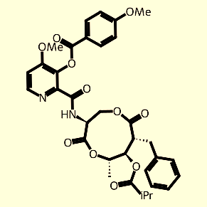 COc1ccc(C(=O)Oc2c(OC)ccnc2C(=O)N[C@H]2COC(=O)[C@H](Cc3ccccc3)[C@@H](OC(=O)C(C)C)[C@H](C)OC2=O)cc1